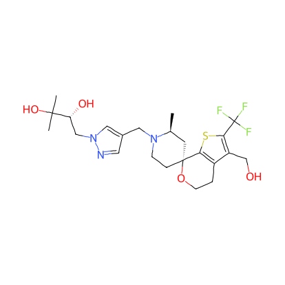 C[C@H]1C[C@@]2(CCN1Cc1cnn(C[C@@H](O)C(C)(C)O)c1)OCCc1c2sc(C(F)(F)F)c1CO